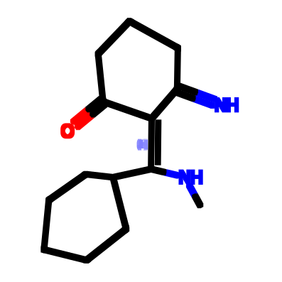 CN/C(=C1\C(=N)CCCC1=O)C1CCCCC1